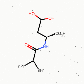 CCCC(CCC)C(=O)N[C@@H](CC(O)O)C(=O)O